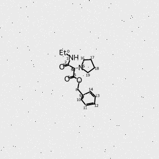 CCNC(=O)[C@@H](C(=O)OCc1ccccc1)N1CCCC1